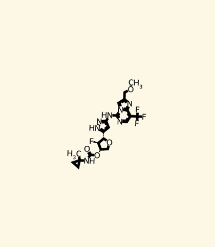 COCc1cn2c(Nc3cc([C@@H]4OC[C@H](OC(=O)NC5(C)CC5)[C@H]4F)[nH]n3)ncc(C(F)(F)F)c2n1